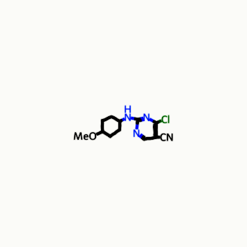 COC1CCC(Nc2ncc(C#N)c(Cl)n2)CC1